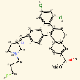 COC(=O)c1ccc2c(c1)CCC(c1ccc(Cl)cc1Cl)=C2c1ccc(/C=C2/CCN(CCCF)C2)cc1